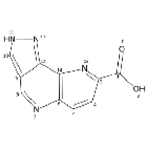 O=C(O)c1ccc2ncc3c[nH]nc3c2n1